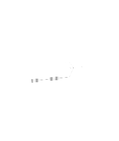 C#CC#CC[C@H](C)C(=O)O